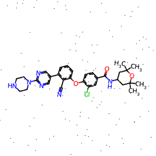 CC1(C)CC(NC(=O)c2ccc(Oc3cccc(-c4cnc(N5CCNCC5)nc4)c3C#N)c(Cl)c2)CC(C)(C)O1